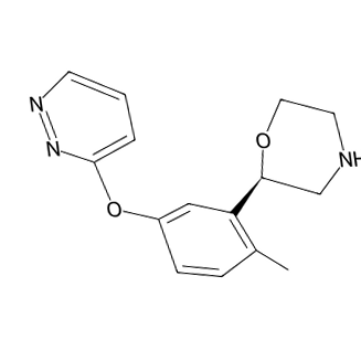 Cc1ccc(Oc2cccnn2)cc1[C@@H]1CNCCO1